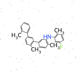 Cc1ccc(F)cc1Nc1cc(-c2cc(-c3ccccc3C)ccc2C)ccc1C